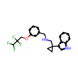 FC(F)C(F)(F)COc1cccc(CNCC2(c3c[nH]c4ccccc34)CC2)c1